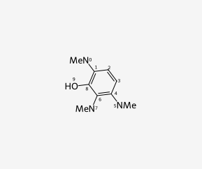 CNc1ccc(NC)c(NC)c1O